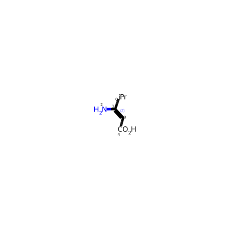 CC(C)/C(N)=C/C(=O)O